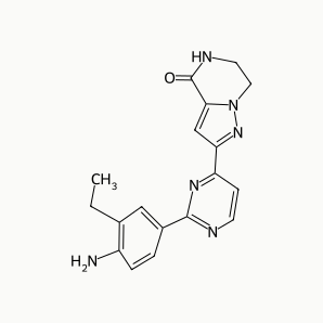 CCc1cc(-c2nccc(-c3cc4n(n3)CCNC4=O)n2)ccc1N